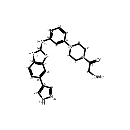 COCC(=O)N1CCN(c2ccnc(NC3Nc4ccc(-c5cn[nH]c5)cc4S3)c2)CC1